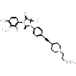 CC(=O)NCCN1CCC(C#Cc2ccc(N3C(=S)N(c4ccc(C#N)c(C(F)(F)F)c4F)C(=O)C3(C)C)cc2)CC1